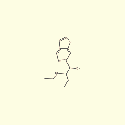 CCNC(CC)C(O)c1ccc2ccoc2c1